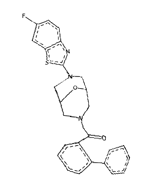 O=C(c1ccccc1-c1ccccc1)N1CC2CN(c3nc4ccc(F)cc4s3)CC(C1)O2